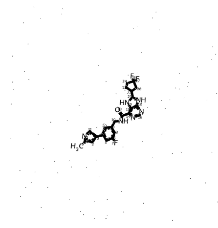 Cn1cc(-c2cc(F)cc(CNC(=O)c3ncnc4c3NC(C3CCC(F)(F)C3)N4)c2)cn1